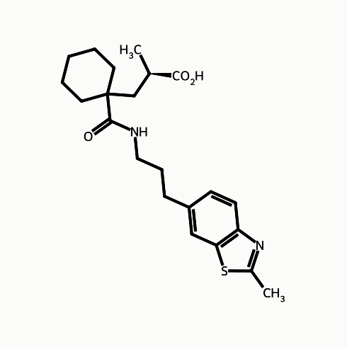 Cc1nc2ccc(CCCNC(=O)C3(C[C@@H](C)C(=O)O)CCCCC3)cc2s1